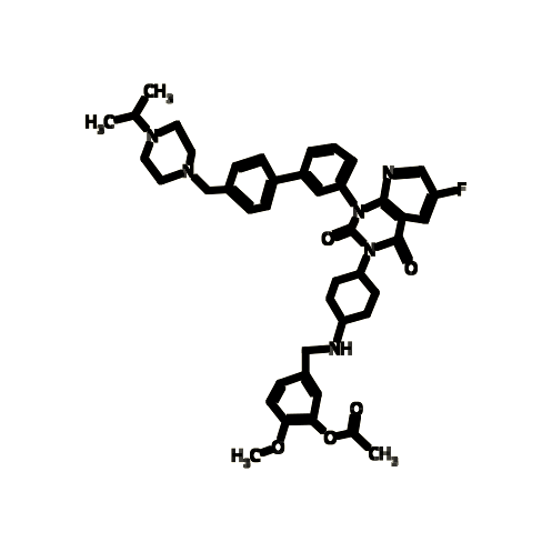 COc1ccc(CNC2CCC(n3c(=O)c4cc(F)cnc4n(-c4cccc(-c5ccc(CN6CCN(C(C)C)CC6)cc5)c4)c3=O)CC2)cc1OC(C)=O